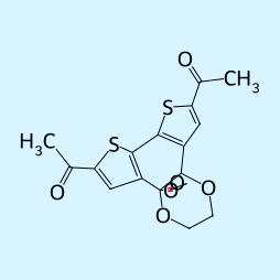 CC(=O)c1cc2c(s1)-c1sc(C(C)=O)cc1C13OCCOC21OCCO3